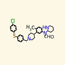 Cc1ccc(N(C=O)[C@@H]2CCCCN2)cc1C1CCN(Cc2ccc(Sc3ccc(Cl)cc3)cc2)CC1